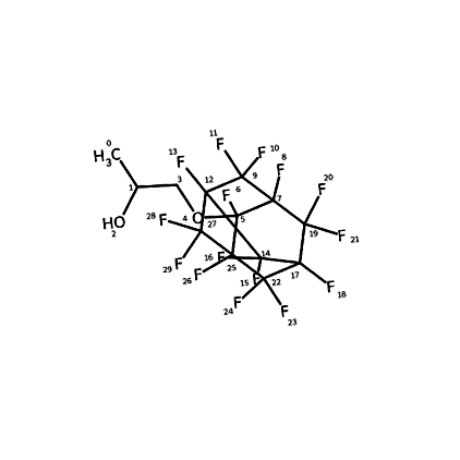 CC(O)COC1(F)C2(F)C(F)(F)C3(F)C(F)(F)C(F)(C2(F)F)C(F)(F)C1(F)C3(F)F